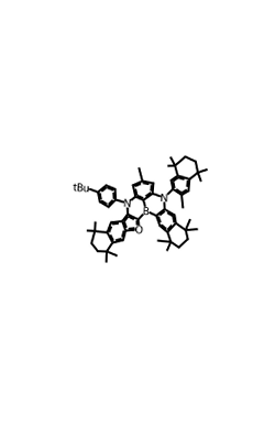 Cc1cc2c3c(c1)N(c1ccc(C(C)(C)C)cc1)c1c(oc4cc5c(cc14)C(C)(C)CCC5(C)C)B3c1cc3c(cc1N2c1cc2c(cc1C)C(C)(C)CCC2(C)C)C(C)(C)CCC3(C)C